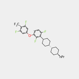 CCC[C@H]1CC[C@H](C2CCC(c3c(F)c[c]c(Oc4cc(F)c(C(F)(F)F)c(F)c4)c3F)CC2)CC1